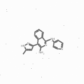 Cc1cc(-c2c(N)nc(Nc3ccncc3)c3ccccc23)n[nH]1